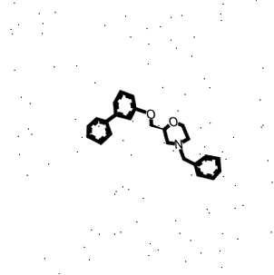 c1ccc(CN2CCO[C@H](COc3cccc(-c4ccccc4)c3)C2)cc1